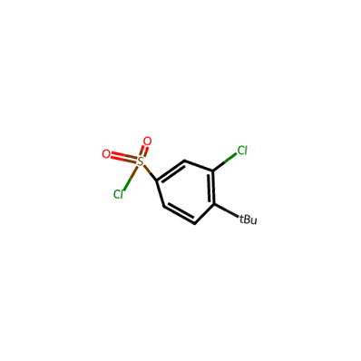 CC(C)(C)c1ccc(S(=O)(=O)Cl)cc1Cl